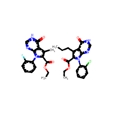 CCCc1c(C(=O)OCC)n(-c2ccccc2Cl)c2nc[nH]c(=O)c12.CCOC(=O)c1c(C)c2c(=O)[nH]cnc2n1-c1ccccc1F